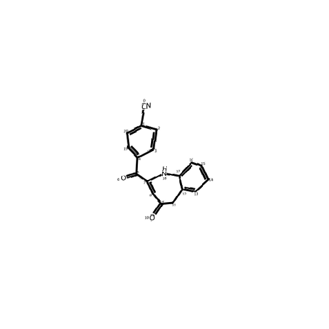 N#Cc1ccc(C(=O)C2=CC(=O)Cc3ccccc3N2)cc1